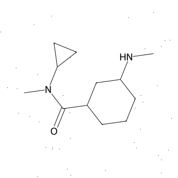 CNC1CCCC(C(=O)N(C)C2CC2)C1